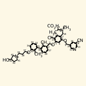 Cc1c(COc2cc(OCc3cncc(C#N)c3)c(CN(C)[C@@H](C)C(=O)O)cc2Cl)cccc1-c1cccc(OCCCN2CC[C@@H](O)C2)c1C